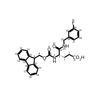 O=C(O)CC[C@H](NC(=O)OCC1c2ccccc2-c2ccccc21)C(=O)NCc1cccc(F)c1